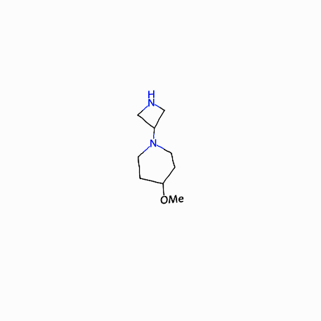 COC1CCN(C2CNC2)CC1